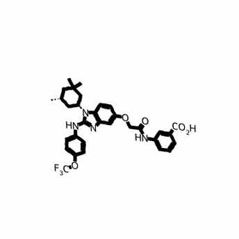 C[C@H]1C[C@@H](n2c(Nc3ccc(OC(F)(F)F)cc3)nc3cc(OCC(=O)Nc4cccc(C(=O)O)c4)ccc32)CC(C)(C)C1